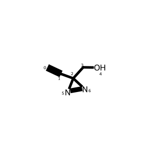 C#CC1(CO)N=N1